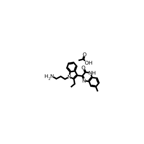 CC(=O)O.CCc1c(-c2nc3cc(C)ccc3[nH]c2=O)c2ccccc2n1CCCN